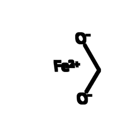 [Fe+2].[O-]C[O-]